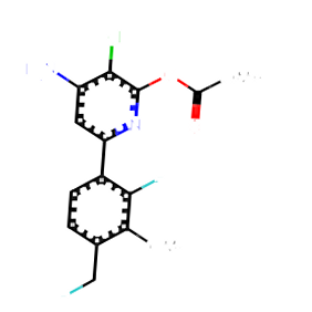 COC(=O)Oc1nc(-c2ccc(CF)c(OC)c2F)cc(N)c1Cl